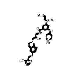 COCCN(C)c1cc(NC2CCN(C(C)=O)CC2)cc(C(=O)NCC(O)CN2CCc3cc(OCc4ocnc4C)ccc3C2)c1